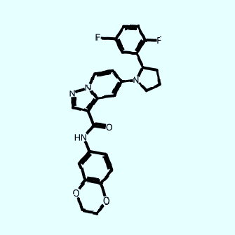 O=C(Nc1ccc2c(c1)OCCO2)c1cnn2ccc(N3CCCC3c3cc(F)ccc3F)cc12